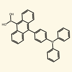 OB(O)c1c2ccccc2c(-c2ccc(N(c3ccccc3)c3ccccc3)cc2)c2ccccc12